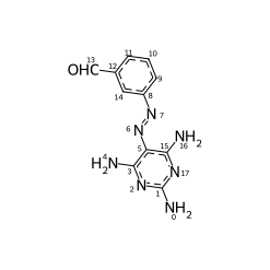 Nc1nc(N)c(N=Nc2cccc(C=O)c2)c(N)n1